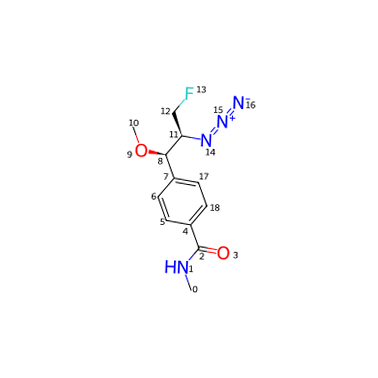 CNC(=O)c1ccc([C@@H](OC)[C@@H](CF)N=[N+]=[N-])cc1